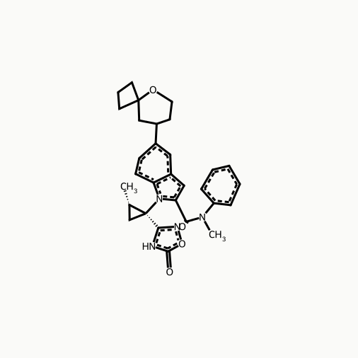 C[C@H]1C[C@]1(c1noc(=O)[nH]1)n1c(C(=O)N(C)c2ccccc2)cc2cc(C3CCOC4(CCC4)C3)ccc21